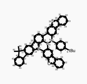 CC(C)(C)c1ccc(N2B3c4cc5c(cc4-n4c6cc7c(cc6c6ccc(c3c64)-c3cc4sc6ccccc6c4cc32)C(C)(C)c2ccccc2-7)oc2ccccc25)cc1